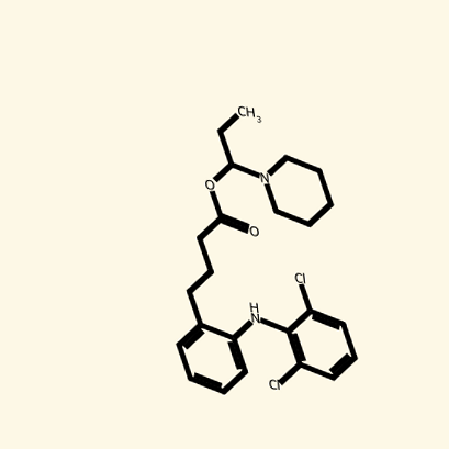 CCC(OC(=O)CCCc1ccccc1Nc1c(Cl)cccc1Cl)N1CCCCC1